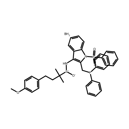 B.COc1ccc(CCC(C)(C)[S+]([O-])Nc2c(CP(c3ccccc3)c3ccccc3)n(S(=O)(=O)c3ccccc3)c3ccccc23)cc1